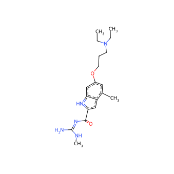 CCN(CC)CCCOc1cc(C)c2cc(C(=O)N=C(N)NC)[nH]c2c1